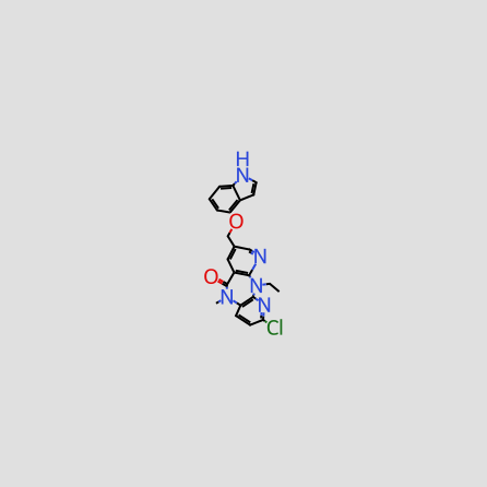 CCN1c2ncc(COc3cccc4[nH]ccc34)cc2C(=O)N(C)c2ccc(Cl)nc21